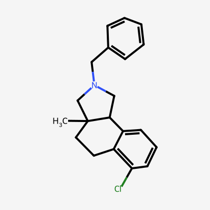 CC12CCc3c(Cl)cccc3C1CN(Cc1ccccc1)C2